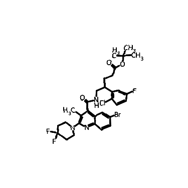 Cc1c(N2CCC(F)(F)CC2)nc2ccc(Br)cc2c1C(=O)NCC(CCC(=O)OC(C)(C)C)c1cc(F)ccc1Cl